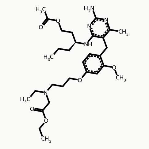 CCC[C@@H](CCOC(C)=O)Nc1nc(N)nc(C)c1Cc1ccc(OCCCN(CC)CC(=O)OCC)cc1OC